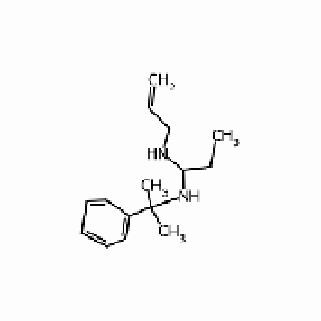 C=CCNC(CC)NC(C)(C)c1ccccc1